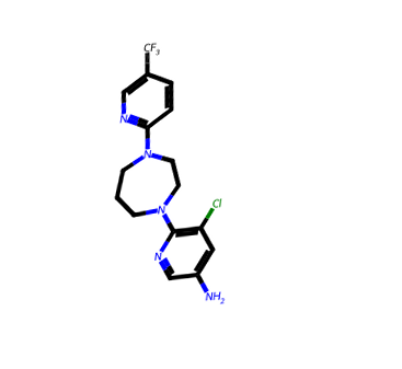 Nc1cnc(N2CCCN(c3ccc(C(F)(F)F)cn3)CC2)c(Cl)c1